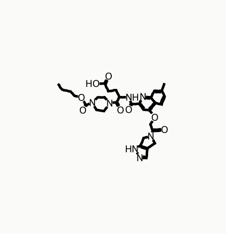 CCCCOC(=O)N1CCN(C(=O)C(CCC(=O)O)NC(=O)c2cc(OCC(=O)N3Cc4cn[nH]c4C3)c3ccc(C)cc3n2)CC1